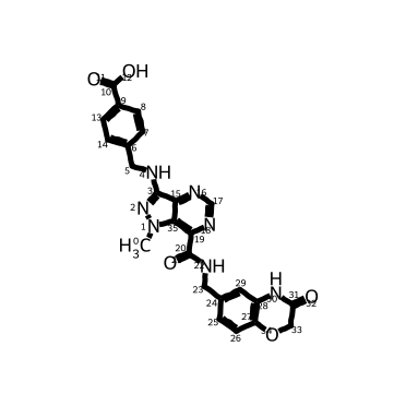 Cn1nc(NCc2ccc(C(=O)O)cc2)c2ncnc(C(=O)NCc3ccc4c(c3)NC(=O)CO4)c21